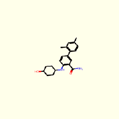 Cc1ccc(-c2ccc(NC3CCC(O)CC3)c(C(N)=O)c2)c(C)c1